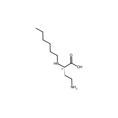 CCCCCCN[C@@H](CCN)C(=O)O